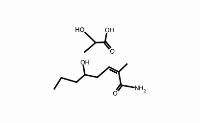 CC(O)C(=O)O.CCCC(O)CC=C(C)C(N)=O